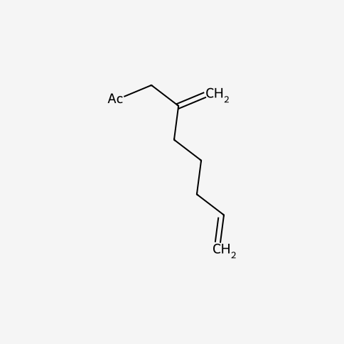 C=CCCCC(=C)CC(C)=O